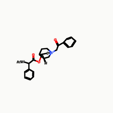 CC(=O)NC(C(=O)O[C@H]1C[N+]2(CC(=O)c3ccccc3)CCC1CC2)c1ccccc1